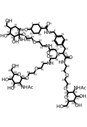 COC1CCC(C(=O)NCc2ccc(CC(C(=O)NCCOCCOC3OC(CO)C(O)C(O)C3NC(C)=O)N(CC(=O)NCCOCCOC3OC(CO)C(O)C(O)C3NC(C)=O)CC(=O)NCCOCCOC3(NC(C)=O)CCC(CO)C(O)C3O)cc2)CC1